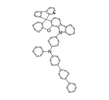 c1ccc(-c2ccc(-c3ccc(N(c4ccccc4)c4ccc(-n5c6ccccc6c6ccc7c(c65)Oc5ccccc5C75c6ccccc6-c6ccccc65)cc4)cc3)cc2)cc1